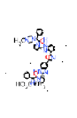 CN1CCN([C@@H](C(=O)N2CCC[C@H]2c2nc3c(-c4ncc(-c5ccc6[nH]c([C@@H]7CCCN7C(=O)[C@@H](c7ccccc7)N(C)C(=O)O)nc6c5)o4)cccc3[nH]2)c2ccccc2)CC1